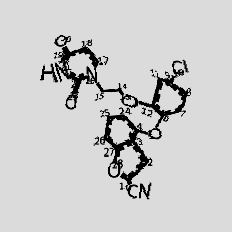 N#Cc1cc2c(Oc3ccc(Cl)cc3OCCn3ccc(=O)[nH]c3=O)cccc2o1